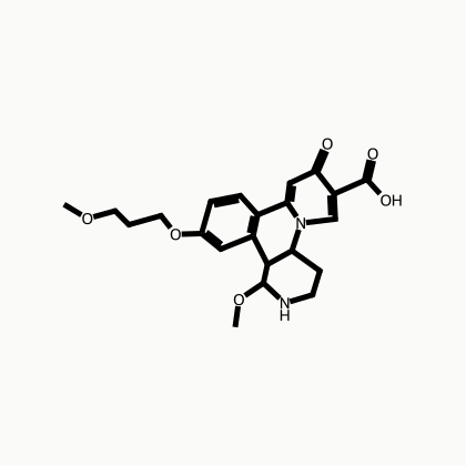 COCCCOc1ccc2c(c1)C1C(OC)NCCC1n1cc(C(=O)O)c(=O)cc1-2